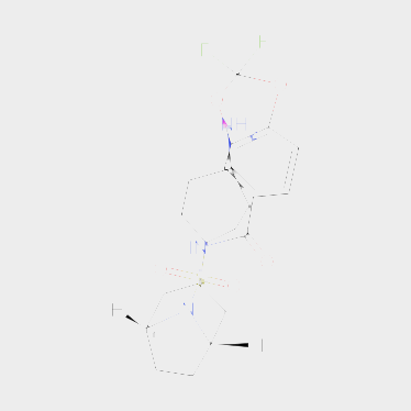 NC1CCC(S(=O)(=O)N2[C@@H]3CC[C@H]2C[C@@H](NC(=O)c2ccc4c(c2)OC(F)(F)O4)C3)CC1